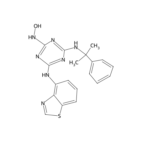 CC(C)(Nc1nc(NO)nc(Nc2cccc3scnc23)n1)c1ccccc1